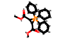 COC(=O)C1C(C(=O)OC)P1(c1ccccc1)(c1ccccc1)c1ccccc1